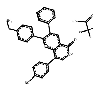 N#Cc1ccc(-c2c[nH]c(=O)c3cc(-c4ccccc4)c(-c4ccc(CN)cc4)nc23)cc1.O=C(O)C(F)(F)F